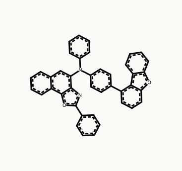 c1ccc(-c2nc3c(N(c4ccccc4)c4ccc(-c5cccc6oc7ccccc7c56)cc4)cc4ccccc4c3o2)cc1